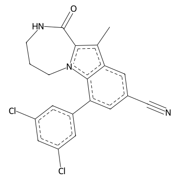 Cc1c2n(c3c(-c4cc(Cl)cc(Cl)c4)cc(C#N)cc13)CCCNC2=O